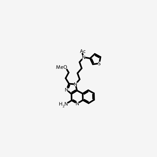 COCCc1nc2c(N)nc3ccccc3c2n1CCCCN(C(C)=O)c1ccsc1